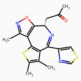 CC(=O)C[C@@H]1N=C(c2cscn2)c2c(sc(C)c2C)-c2c(C)noc21